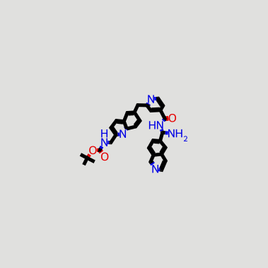 CC(C)(C)OC(=O)NCc1ccc2cc(Cc3cc(C(=O)NC(N)c4ccc5cnccc5c4)ccn3)ccc2n1